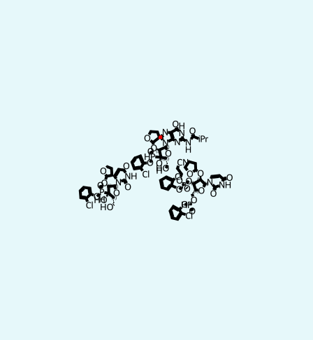 CC(C)C(=O)Nc1nc2c(ncn2[C@@H]2O[C@H](CO)[C@](O)([PH](=O)Oc3ccccc3Cl)[C@H]2OC2CCCO2)c(=O)[nH]1.N#CCCOP(=O)(Oc1ccccc1Cl)O[C@H]1[C@@H](OC2CCCO2)[C@H](n2ccc(=O)[nH]c2=O)O[C@@H]1CO[PH](=O)Oc1ccccc1Cl.O=c1ccn([C@@H]2O[C@H](CO)[C@](O)([PH](=O)Oc3ccccc3Cl)[C@H]2OC2CCCO2)c(=O)[nH]1